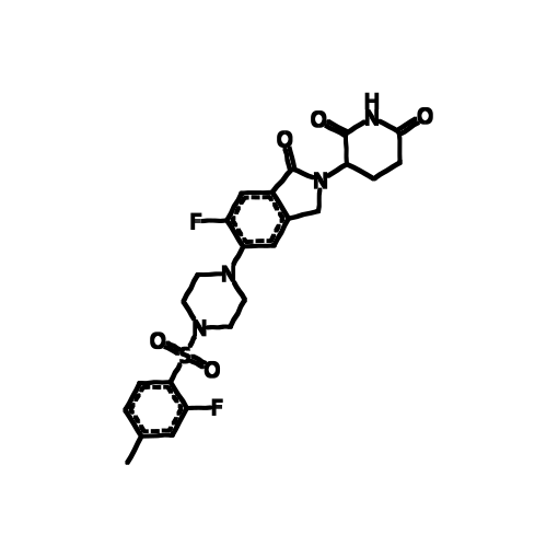 Cc1ccc(S(=O)(=O)N2CCN(c3cc4c(cc3F)C(=O)N(C3CCC(=O)NC3=O)C4)CC2)c(F)c1